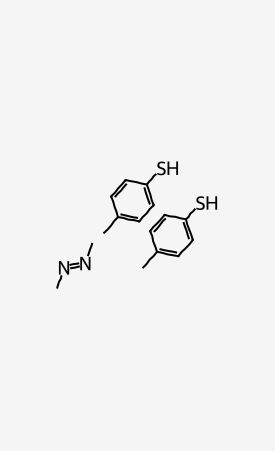 CN=NC.Cc1ccc(S)cc1.Cc1ccc(S)cc1